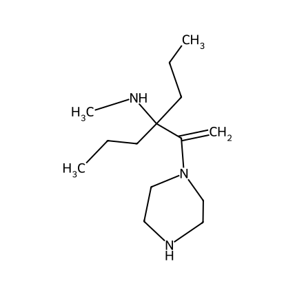 C=C(N1CCNCC1)C(CCC)(CCC)NC